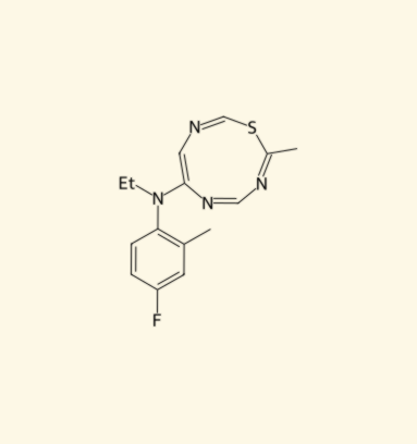 CCN(c1cncsc(C)ncn1)c1ccc(F)cc1C